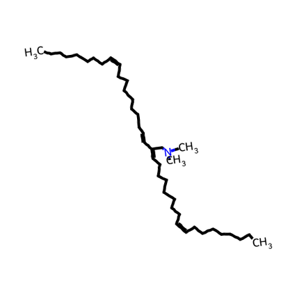 CCCCCCCC/C=C\CCCCCCCC=CC(=CCCCCCCC/C=C\CCCCCCCC)CN(C)C